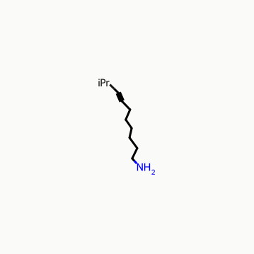 CC(C)C#CCCCCCCN